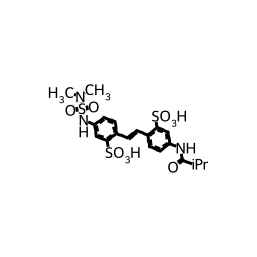 CC(C)C(=O)Nc1ccc(/C=C/c2ccc(NS(=O)(=O)N(C)C)cc2S(=O)(=O)O)c(S(=O)(=O)O)c1